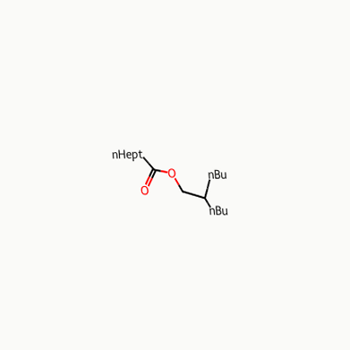 CCCCCCCC(=O)OCC(CCCC)CCCC